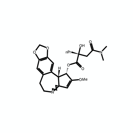 CCC[C@@](O)(CC(=O)N(C)C)C(=O)O[C@@H]1C(OC)=C[C@]23CCCN2CCc2cc4c(cc2[C@H]13)OCO4